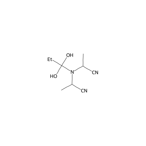 CCC(O)(O)N(C(C)C#N)C(C)C#N